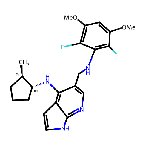 COc1cc(OC)c(F)c(NCc2cnc3[nH]ccc3c2N[C@@H]2CCC[C@H]2C)c1F